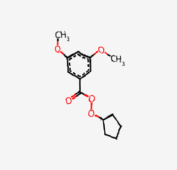 COc1cc(OC)cc(C(=O)OO[C]2CCCC2)c1